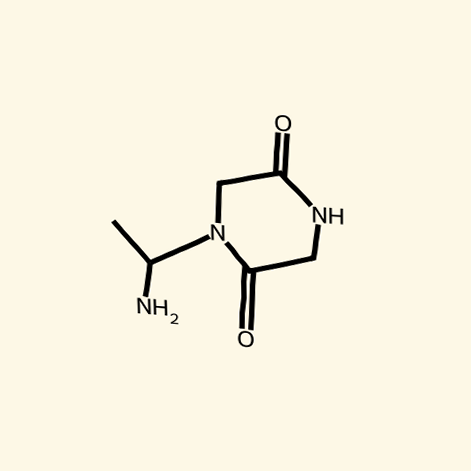 CC(N)N1CC(=O)NCC1=O